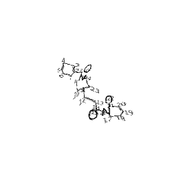 O=C(c1ccccc1)N1CCC(/C=C/C(=O)N2CCC=CC2=O)CC1